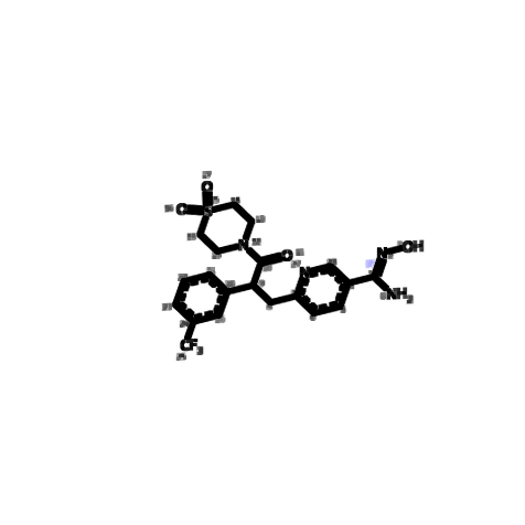 N/C(=N\O)c1ccc(CC(C(=O)N2CCS(=O)(=O)CC2)c2cccc(C(F)(F)F)c2)nc1